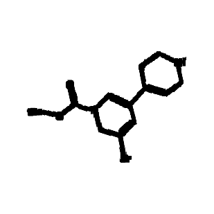 CC(C)(C)OC(=O)N1C=C(C2=CCNCC2)C=C(Br)C1